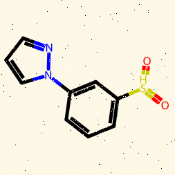 O=[SH](=O)c1cccc(-n2cccn2)c1